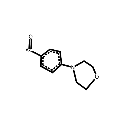 O=[As]c1ccc(N2CCOCC2)cc1